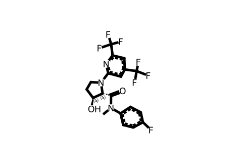 CN(C(=O)[C@@H]1[C@@H](O)CCN1c1cc(C(F)(F)F)cc(C(F)(F)F)n1)c1ccc(F)cc1